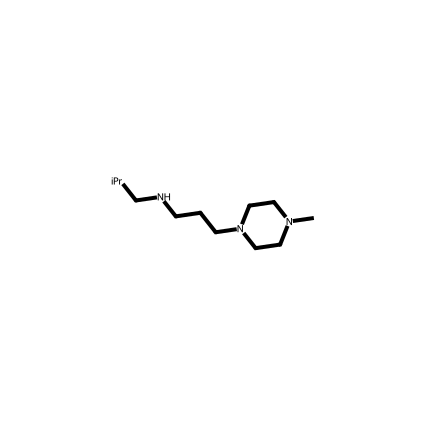 CC(C)CNCCCN1CCN(C)CC1